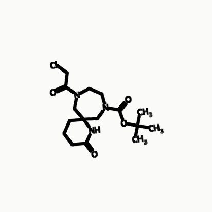 CC(C)(C)OC(=O)N1CCN(C(=O)CCl)CC2(CCCC(=O)N2)C1